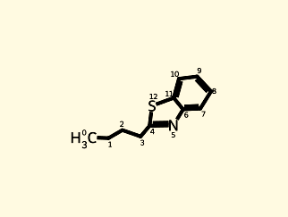 CCCCc1nc2ccccc2s1